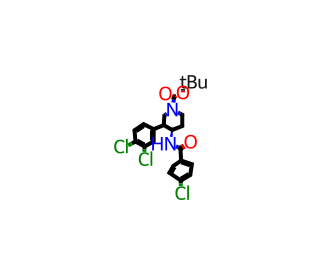 CC(C)(C)OC(=O)N1CC[C@@H](NC(=O)c2ccc(Cl)cc2)C(c2ccc(Cl)c(Cl)c2)C1